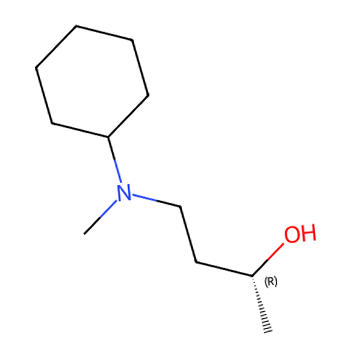 C[C@@H](O)CCN(C)C1CCCCC1